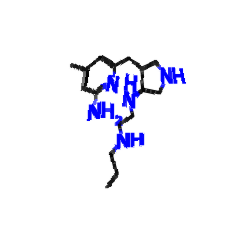 CCCNCCN[C@@H]1CNCC1Cc1cc(C)cc(N)n1